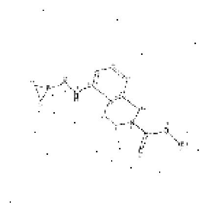 CC(C)(C)OC(=O)N1CCc2c(cccc2NCC2CC2)C1